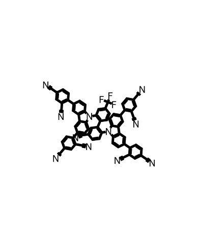 N#Cc1ccc(-c2ccc3c(c2)c2cc(-c4ccc(C#N)cc4C#N)ccc2n3-c2ccc(C#N)cc2-c2ccc(C(F)(F)F)cc2-n2c3ccc(-c4ccc(C#N)cc4C#N)cc3c3cc(-c4ccc(C#N)cc4C#N)ccc32)c(C#N)c1